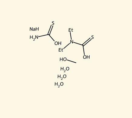 CCN(CC)C(O)=S.CO.NC(O)=S.O.O.O.[NaH]